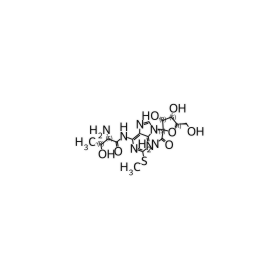 CSc1nc(NC(=O)[C@@H](N)[C@@H](C)O)c2ncn([C@]3(C(N)=O)O[C@H](CO)[C@@H](O)[C@H]3O)c2n1